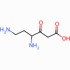 NCCC(N)C(=O)CC(=O)O